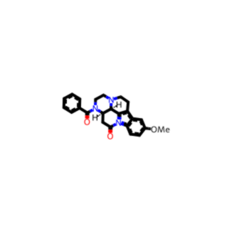 COc1ccc2c(c1)c1c3n2C(=O)C[C@@H]2[C@H]3N(CC1)CCN2C(=O)c1ccccc1